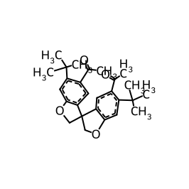 CC(=O)c1cc2c(cc1C(C)(C)C)OCC21COc2cc(C(C)(C)C)c(C(C)=O)cc21